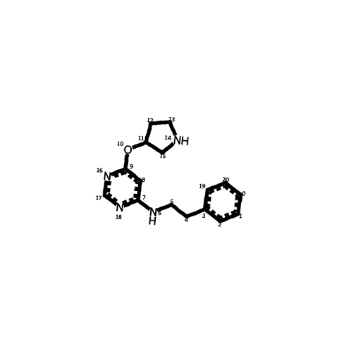 c1ccc(CCNc2cc(OC3CCNC3)ncn2)cc1